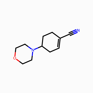 N#CC1=CCC(N2CCOCC2)CC1